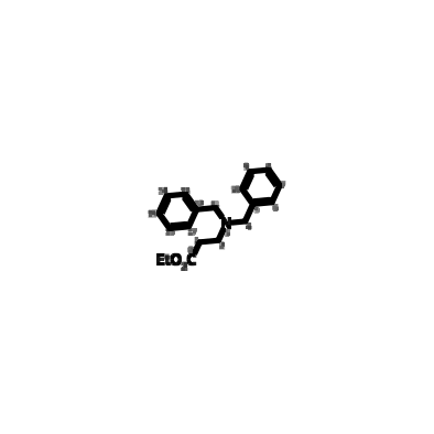 CCOC(=O)CCN(Cc1ccccc1)Cc1ccccc1